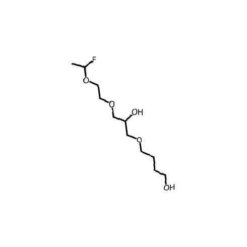 CC(F)OCCOCC(O)COCCCCO